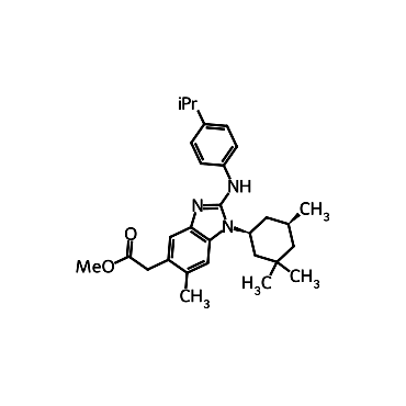 COC(=O)Cc1cc2nc(Nc3ccc(C(C)C)cc3)n([C@H]3C[C@@H](C)CC(C)(C)C3)c2cc1C